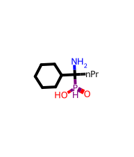 CCCC(N)(C1CCCCC1)[PH](=O)O